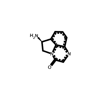 N[C@@H]1Cn2c(=O)cnc3cccc1c32